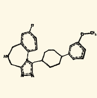 FC(F)(F)Oc1cccc(C2CCC(c3nnc4n3-c3ccc(Cl)cc3CNC4)CC2)c1